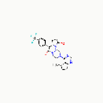 C[C@@H]1CCc2ncnc(N3CCN(C(=O)C(c4ccc(C(F)(F)F)cc4)[C@H]4CCC(=O)N4)CC3)c21